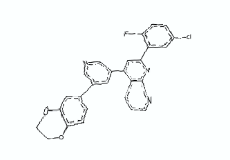 Fc1ccc(Cl)cc1-c1cc(-c2cncc(-c3ccc4c(c3)OCCO4)c2)c2cccnc2n1